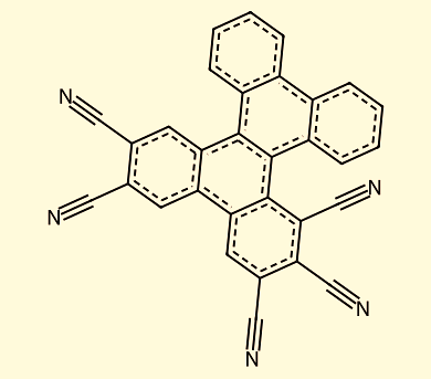 N#Cc1cc2c3cc(C#N)c(C#N)c(C#N)c3c3c4ccccc4c4ccccc4c3c2cc1C#N